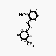 N#Cc1ccccc1/C=C/c1cccc(C(F)(F)F)c1